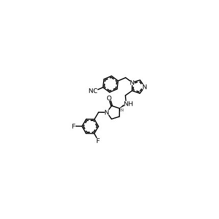 N#Cc1ccc(Cn2cncc2CN[C@H]2CCN(Cc3cc(F)cc(F)c3)C2=O)cc1